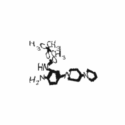 CC(C)(C)OC(=O)Nc1cc(N2CCC(N3CCCC3)CC2)ccc1N